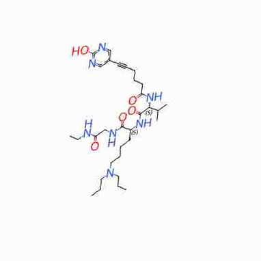 CCCN(CCC)CCCC[C@H](NC(=O)[C@@H](NC(=O)CCCC#Cc1cnc(O)nc1)C(C)C)C(=O)NCC(=O)NCC